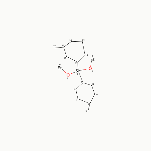 CCO[Si](OCC)(C1CCC(C)CC1)C1CCCC(C)C1